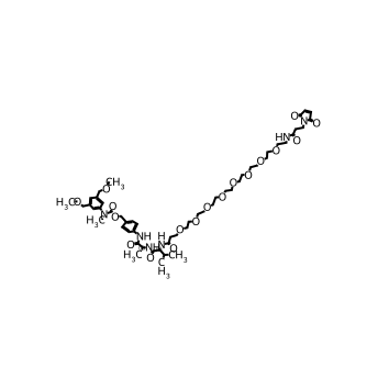 COCc1cc(COC)cc(N(C)C(=O)OCc2ccc(NC(=O)[C@H](C)NC(=O)[C@@H](NC(=O)CCOCCOCCOCCOCCOCCOCCOCCOCCNC(=O)CCN3C(=O)C=CC3=O)C(C)C)cc2)c1